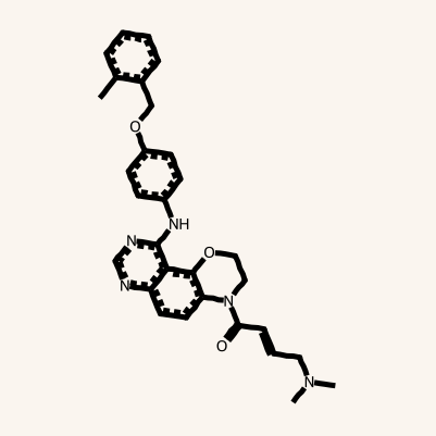 Cc1ccccc1COc1ccc(Nc2ncnc3ccc4c(c23)OCCN4C(=O)/C=C/CN(C)C)cc1